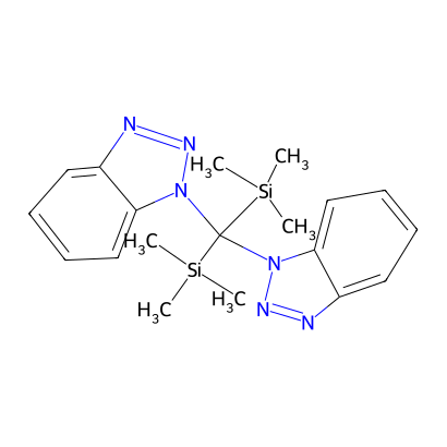 C[Si](C)(C)C(n1nnc2ccccc21)(n1nnc2ccccc21)[Si](C)(C)C